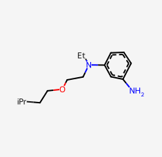 CCN(CCOCCC(C)C)c1cccc(N)c1